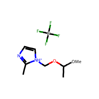 COC(C)OC[NH+]1C=CN=C1C.F[B-](F)(F)F